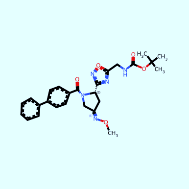 CO/N=C1\C[C@@H](c2noc(CNC(=O)OC(C)(C)C)n2)N(C(=O)c2ccc(-c3ccccc3)cc2)C1